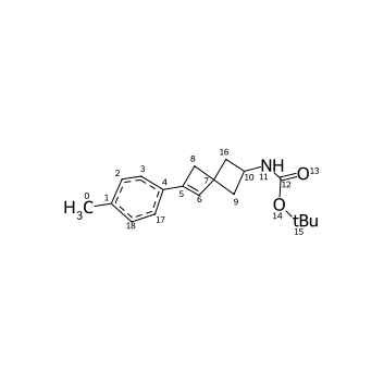 Cc1ccc(C2=CC3(C2)CC(NC(=O)OC(C)(C)C)C3)cc1